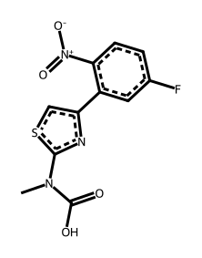 CN(C(=O)O)c1nc(-c2cc(F)ccc2[N+](=O)[O-])cs1